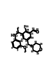 COc1cccc(N[C](C)c2cc(CN3CCOCC3)cc(C=O)c2F)c1